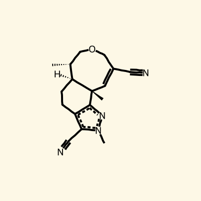 C[C@@H]1COC/C(C#N)=C\[C@]2(C)c3nn(C)c(C#N)c3CC[C@@H]12